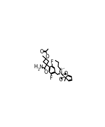 CCC[C@H](C)N(Cc1cc(F)c(C2(C(N)=O)CC(C)(OC(C)=O)C2)cc1F)S(=O)(=O)C1(C)C=CC=C1